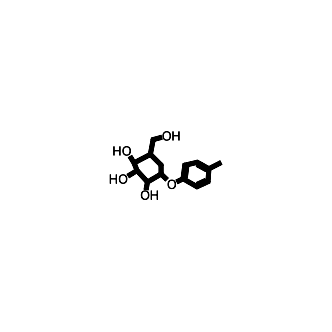 Cc1ccc(OC2CC(CO)C(O)C(O)C2O)cc1